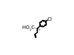 C=CC[C@H](C(=O)O)c1ccc(Cl)cc1